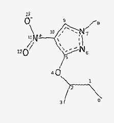 CCC(C)Oc1nn(C)cc1[N+](=O)[O-]